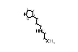 CCCNCCCC1CC[N]C1